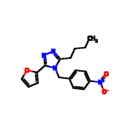 CCCCc1nnc(-c2ccco2)n1Cc1ccc([N+](=O)[O-])cc1